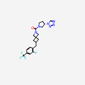 O=C(N1CC[C@H](n2cnnn2)C1)N1CC2(CC(Cc3ccc(C(F)(F)F)cc3F)C2)C1